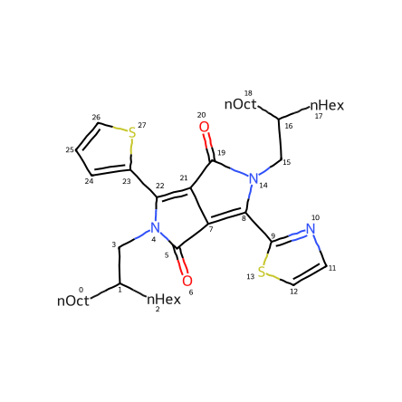 CCCCCCCCC(CCCCCC)CN1C(=O)C2=C(c3nccs3)N(CC(CCCCCC)CCCCCCCC)C(=O)C2=C1c1cccs1